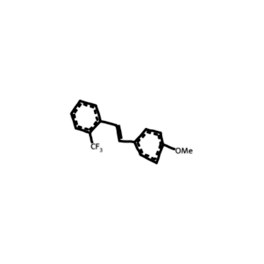 COc1ccc(C=Cc2ccccc2C(F)(F)F)cc1